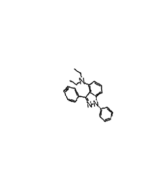 CCN(CC)c1cccc2c1c(-c1ccccc1)nn2-c1ccccc1